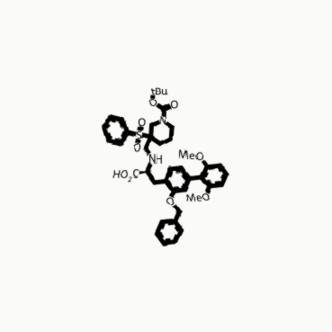 COc1cccc(OC)c1-c1ccc(C[C@H](NCC2(S(=O)(=O)c3ccccc3)CCCN(C(=O)OC(C)(C)C)C2)C(=O)O)c(OCc2ccccc2)c1